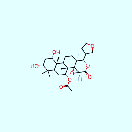 CC(=O)O[C@@H]1CC2C(C)(C)[C@H](O)C[C@H](O)[C@]2(C)C2CC[C@@]3(C)[C@H]([C@H]4CCOC4)OC(=O)[C@H]4O[C@]43[C@@]21C